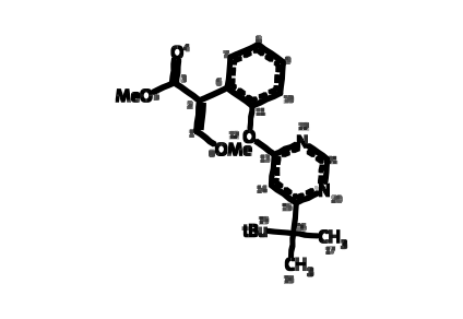 CO/C=C(/C(=O)OC)c1ccccc1Oc1cc(C(C)(C)C(C)(C)C)ncn1